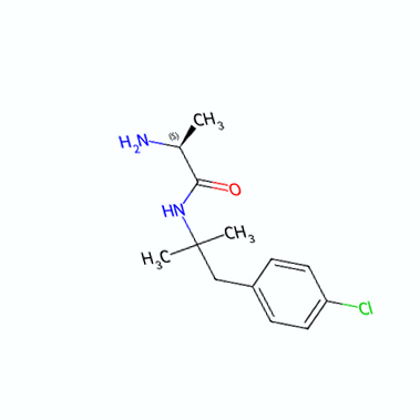 C[C@H](N)C(=O)NC(C)(C)Cc1ccc(Cl)cc1